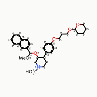 COC(OC1CN(C(=O)O)CCC1c1ccc(OCCCOC2CCCCO2)cc1)c1ccc2ccccc2c1